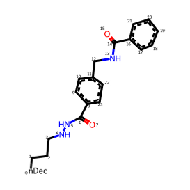 CCCCCCCCCCCCCNNC(=O)c1ccc(CNC(=O)c2ccccc2)cc1